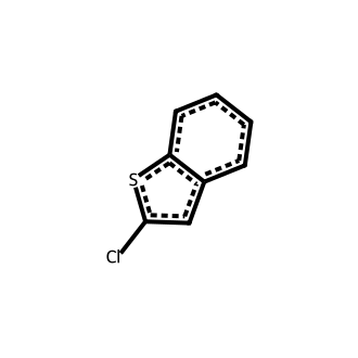 Clc1cc2ccccc2s1